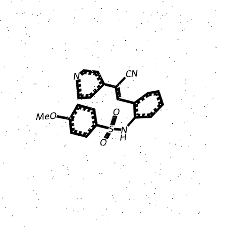 COc1ccc(S(=O)(=O)Nc2ccccc2/C=C(\C#N)c2ccncc2)cc1